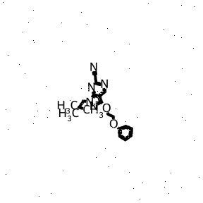 CC(C)(C)Cn1nc(OCCOc2ccccc2)c2cnc(C#N)nc21